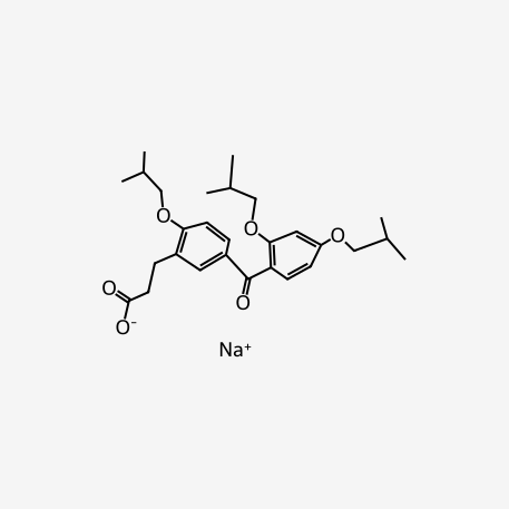 CC(C)COc1ccc(C(=O)c2ccc(OCC(C)C)c(CCC(=O)[O-])c2)c(OCC(C)C)c1.[Na+]